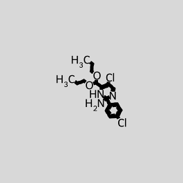 CCCOC(OCCC)C1=C(Cl)C=NC(N)(c2ccc(Cl)cc2)N1